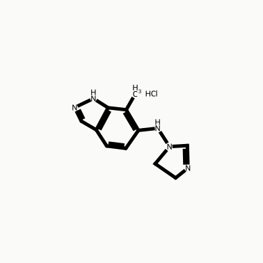 Cc1c(NN2C=NCC2)ccc2cn[nH]c12.Cl